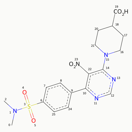 CN(C)S(=O)(=O)c1ccc(-c2ncnc(N3CCC(C(=O)O)CC3)c2[N+](=O)[O-])cc1